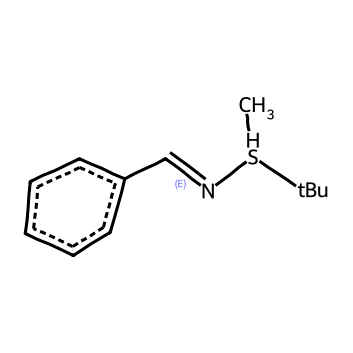 C[SH](/N=C/c1ccccc1)C(C)(C)C